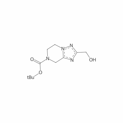 CC(C)(C)OC(=O)N1CCn2nc(CO)nc2C1